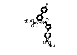 CC(C)(C)OC(=O)Nc1ccc(-c2ccc(F)cc2)cc1NC(=O)c1ccc(N2CCN(C(=O)OC(C)(C)C)CC2)s1